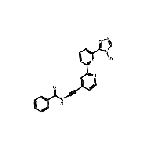 CC(C)n1cnnc1-c1cccc(-c2cc(C#CNC(=O)c3ccccc3)ccn2)n1